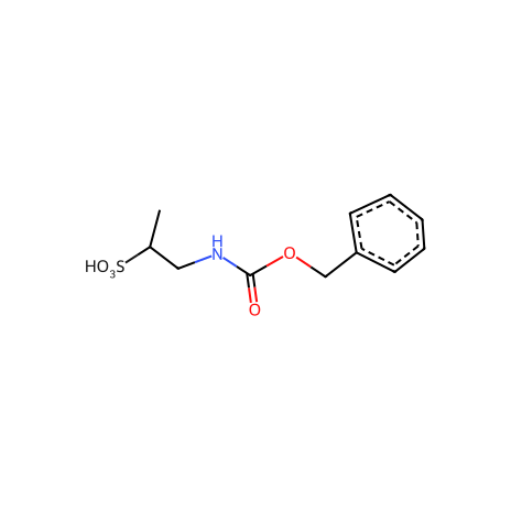 CC(CNC(=O)OCc1ccccc1)S(=O)(=O)O